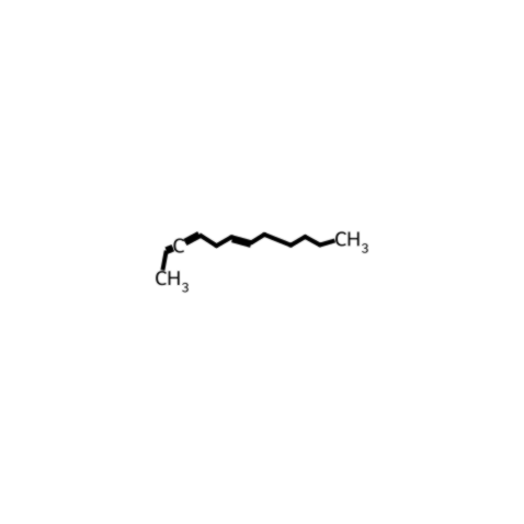 CC=C=CC/C=C/CCCCC